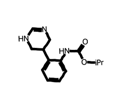 CC(C)OC(=O)Nc1ccccc1C1CN=CNC1